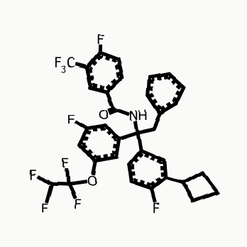 O=C(NC(Cc1ccccc1)(c1cc(F)cc(OC(F)(F)C(F)F)c1)c1ccc(F)c(C2CCC2)c1)c1ccc(F)c(C(F)(F)F)c1